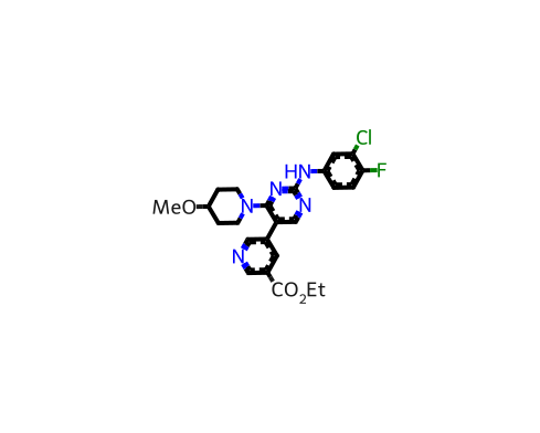 CCOC(=O)c1cncc(-c2cnc(Nc3ccc(F)c(Cl)c3)nc2N2CCC(OC)CC2)c1